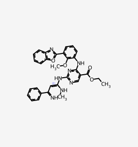 CCOC(=O)c1cnc(N/C(=C/C(=N)c2ccccc2)NC)nc1Nc1cccc(-c2nc3ccccc3o2)c1OC